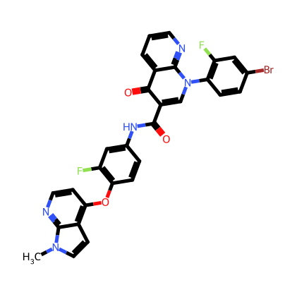 Cn1ccc2c(Oc3ccc(NC(=O)c4cn(-c5ccc(Br)cc5F)c5ncccc5c4=O)cc3F)ccnc21